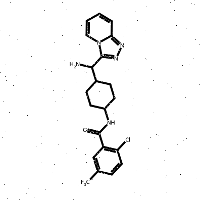 NC(c1nnc2ccccn12)C1CCC(NC(=O)c2cc(C(F)(F)F)ccc2Cl)CC1